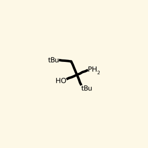 CC(C)(C)CC(O)(P)C(C)(C)C